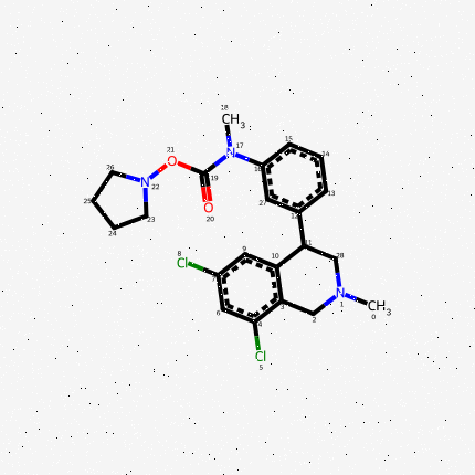 CN1Cc2c(Cl)cc(Cl)cc2C(c2cccc(N(C)C(=O)ON3CCCC3)c2)C1